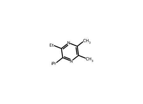 CCc1nc(C)c(C)nc1C(C)C